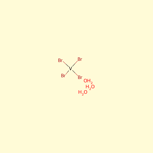 O.O.O.[Br][V]([Br])([Br])[Br]